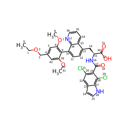 CCOCc1cc(OC)c(-c2ccc(C[C@H](NC(=O)c3c(Cl)cc4cc[nH]c4c3Cl)C(=O)O)c3cccnc23)c(OC)c1